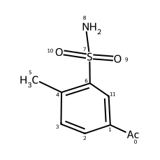 CC(=O)c1ccc(C)c(S(N)(=O)=O)c1